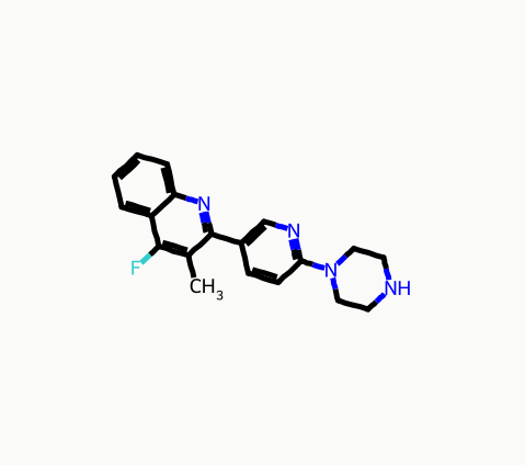 Cc1c(-c2ccc(N3CCNCC3)nc2)nc2ccccc2c1F